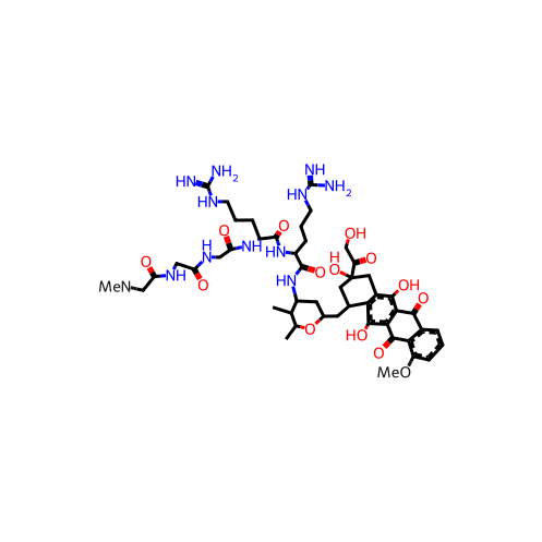 CNCC(=O)NCC(=O)NCC(=O)NC(CCCNC(=N)N)C(=O)NC(CCCNC(=N)N)C(=O)NC1CC(CC2CC(O)(C(=O)CO)Cc3c(O)c4c(c(O)c32)C(=O)c2c(OC)cccc2C4=O)OC(C)C1C